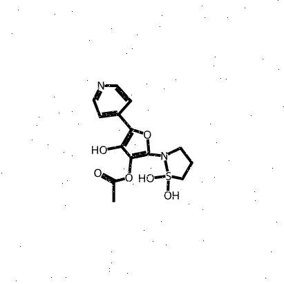 CC(=O)Oc1c(N2CCCS2(O)O)oc(-c2ccncc2)c1O